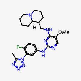 COc1cnc(Nc2ccc(F)c(-n3nnnc3C)c2)nc1NC[C@@H]1CCCN2CCCC[C@H]12